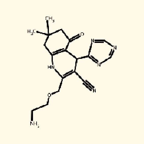 CC1(C)CC(=O)C2=C(C1)NC(COCCN)=C(C#N)C2c1ncncn1